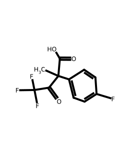 CC(C(=O)O)(C(=O)C(F)(F)F)c1ccc(F)cc1